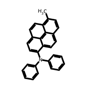 Cc1ccc2ccc3c(N(c4ccccc4)c4ccccc4)ccc4ccc1c2c43